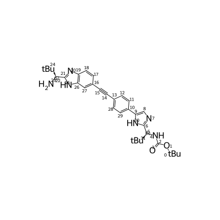 CC(C)(C)OC(=O)N[C@H](c1ncc(-c2ccc(C#Cc3ccc4nc([C@@H](N)C(C)(C)C)[nH]c4c3)cc2)[nH]1)C(C)(C)C